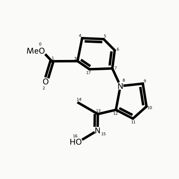 COC(=O)c1cccc(-n2cccc2/C(C)=N/O)c1